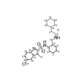 Cc1c(S(=O)(=O)Nc2ccccc2CN[C@@H](C)CC2CCCCC2)sc2ccc(Cl)cc12